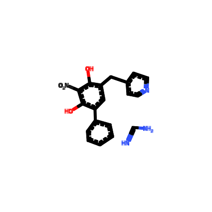 N=CN.O=[N+]([O-])c1c(O)c(Cc2ccncc2)cc(-c2ccccc2)c1O